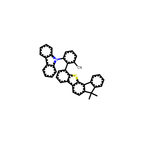 CC1(C)c2ccccc2-c2c1ccc1c2sc2c(-c3c(C#N)cccc3-n3c4ccccc4c4ccccc43)cccc21